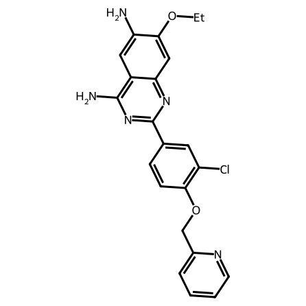 CCOc1cc2nc(-c3ccc(OCc4ccccn4)c(Cl)c3)nc(N)c2cc1N